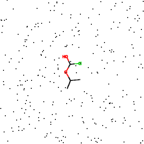 CC(C)OC(O)Cl